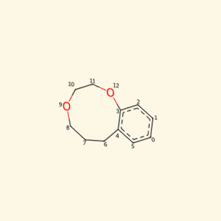 c1ccc2c(c1)CCCOCCO2